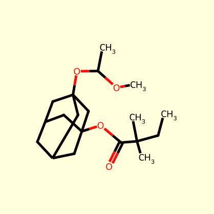 CCC(C)(C)C(=O)OC12CC3CC(C1)CC(OC(C)OC)(C3)C2